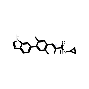 C/C(=C\c1cc(C)c(-c2ccc3cc[nH]c3c2)cc1C)C(=O)NC1CC1